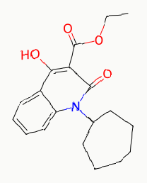 CCOC(=O)c1c(O)c2ccccc2n(C2CCCCCC2)c1=O